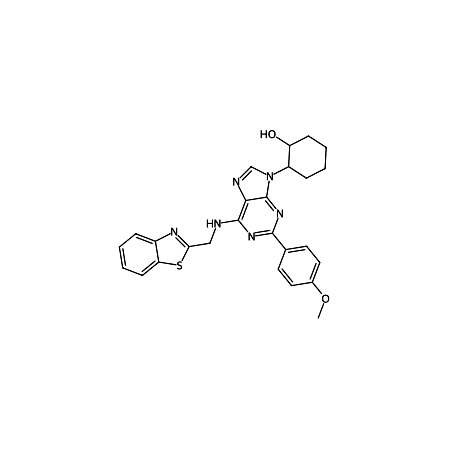 COc1ccc(-c2nc(NCc3nc4ccccc4s3)c3ncn(C4CCCCC4O)c3n2)cc1